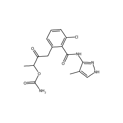 Cc1c[nH]nc1NC(=O)c1c(Cl)cccc1CC(=O)C(C)OC(N)=O